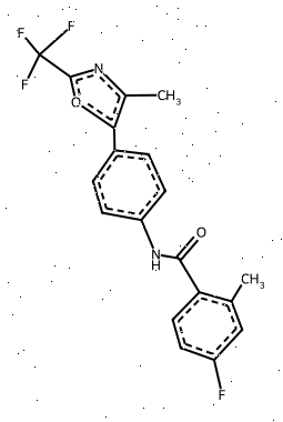 Cc1cc(F)ccc1C(=O)Nc1ccc(-c2oc(C(F)(F)F)nc2C)cc1